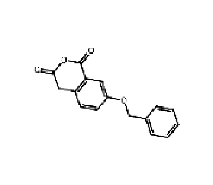 O=C1Cc2ccc(OCc3ccccc3)cc2C(=O)O1